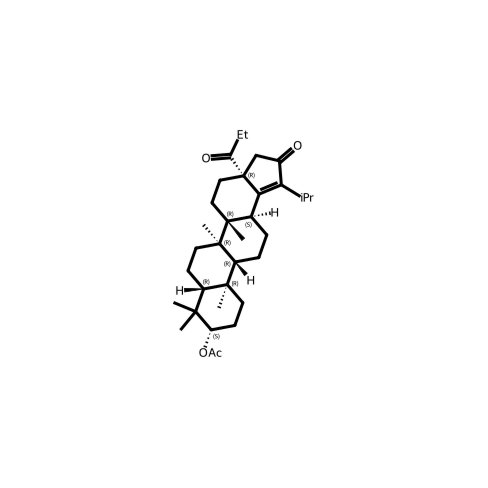 CCC(=O)[C@@]12CC[C@]3(C)[C@H](CC[C@@H]4[C@@]5(C)CC[C@H](OC(C)=O)C(C)(C)[C@@H]5CC[C@]43C)C1=C(C(C)C)C(=O)C2